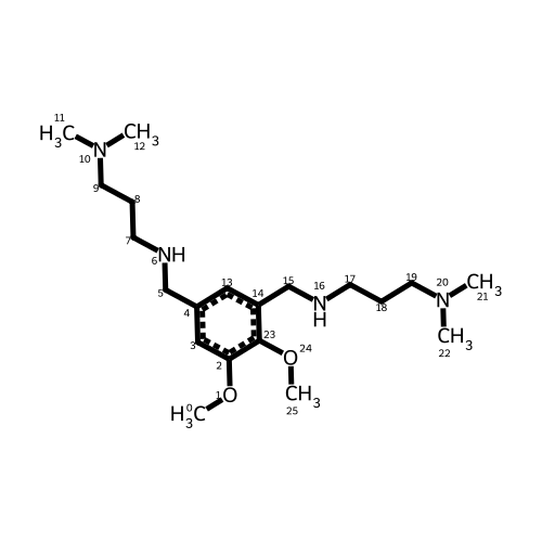 COc1cc(CNCCCN(C)C)cc(CNCCCN(C)C)c1OC